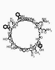 CCCC[C@H]1C(=O)N[C@@H](CC(N)=O)C(=O)N2CCC[C@H]2C(=O)N[C@@H](CO)C(=O)N[C@@H](CCO)C(=O)N2C[C@H](O)C[C@H]2C(=O)N[C@@H](Cc2c[nH]c3ccccc23)C(=O)N[C@@H](CCN)C(=O)N[C@@H](Cc2c[nH]c3ccccc23)C(=O)N(C)[C@@H](C)C(=O)N(C)[C@@H](C)C(=O)N[C@@H](CCCNC(=N)N)C(=O)NC(C(=O)NCC(N)=O)CSCC(=O)N[C@@H](Cc2ccc(O)cc2)C(=O)N1C